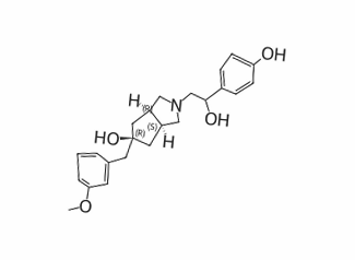 COc1cccc(C[C@]2(O)C[C@H]3CN(CC(O)c4ccc(O)cc4)C[C@H]3C2)c1